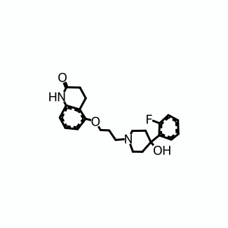 O=C1CCc2c(cccc2OCCCN2CCC(O)(c3ccccc3F)CC2)N1